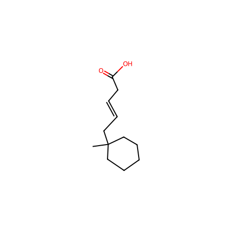 CC1(C/C=C/CC(=O)O)CCCCC1